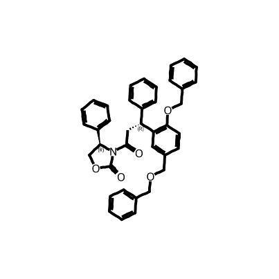 O=C(C[C@H](c1ccccc1)c1cc(COCc2ccccc2)ccc1OCc1ccccc1)N1C(=O)OC[C@H]1c1ccccc1